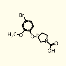 COc1cc(Br)ccc1O[C@H]1CCN(C(=O)O)C1